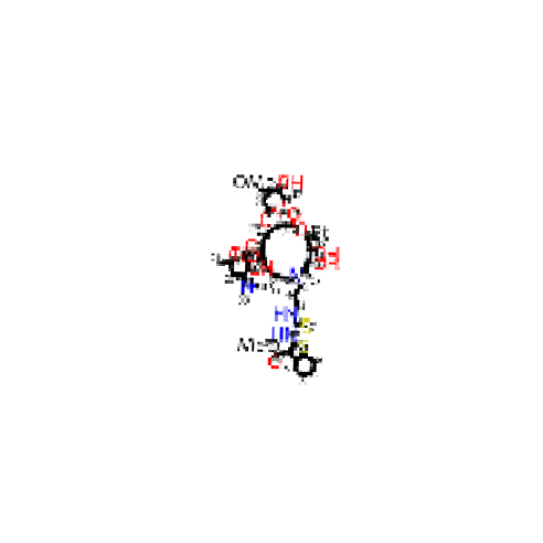 CC[C@H]1OC(=O)[C@H](C)[C@@H](O[C@H]2C[C@@](C)(OC)[C@@H](O)[C@H](C)O2)[C@H](C)[C@@H](O[C@@H]2O[C@H](C)C[C@H](N(C)C)[C@H]2O)[C@](C)(O)C[C@@H](C)CN(CCCNC(=S)Nc2sc3c(c2C(=O)OC)CCCC3)[C@H](C)[C@@H](O)[C@]1(C)O